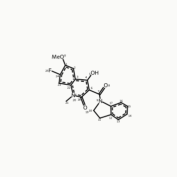 COc1cc2c(O)c(C(=O)N3CCc4ccccc43)c(=O)n(C)c2cc1F